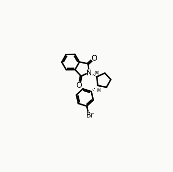 O=C1c2ccccc2C(=O)N1[C@@H]1CCC[C@@H]1c1cccc(Br)c1